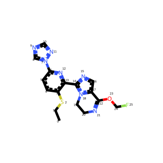 CCSc1ccc(-n2cncn2)nc1-c1ncc2n1CCN=C2OCF